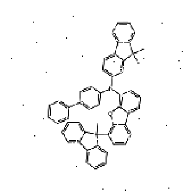 CC1(C)c2ccccc2-c2ccc(N(c3ccc(-c4ccccc4)cc3)c3cccc4c3oc3c(C5(C)c6ccccc6-c6ccccc65)cccc34)cc21